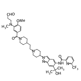 COc1ccc(C(=O)N2CCC(CCN3CCC(n4cc5cc(NC(=O)c6cccc(C(F)(F)F)n6)c(C(C)(C)O)cc5n4)CC3)CC2)cc1N(C)CCC=O